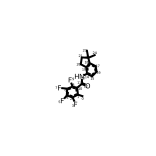 Cc1c(F)c(F)c(F)c(F)c1C(=O)Nc1cccc2c1CCC2(C)C